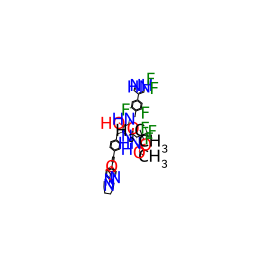 COC(=O)N[C@H](C(=O)N[C@@H](Cc1ccc(C#Cc2ccc(N3C4CCC3CN(C3COC3)C4)nc2)cc1)[C@@H](O)CNCc1c(F)cc(/C(C=N)=C/NC(F)F)cc1F)C(C)(C)C(F)(F)F